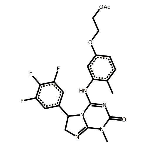 CC(=O)OCCOc1ccc(C)c(NC2=NC(=O)N(C)C3=NCC(c4cc(F)c(F)c(F)c4)N23)c1